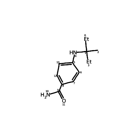 CCC(C)(CC)Nc1ccc(C(N)=O)cc1